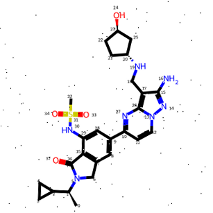 C[C@@H](C1CC1)N1Cc2cc(-c3ccn4nc(N)c(CN[C@@H]5CC[C@@H](O)C5)c4n3)cc(NS(C)(=O)=O)c2C1=O